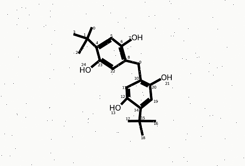 CC(C)(C)c1cc(O)c(Cc2cc(O)c(C(C)(C)C)cc2O)cc1O